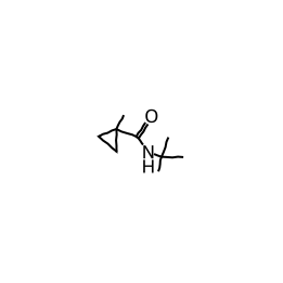 CC(C)(C)NC(=O)C1(C)CC1